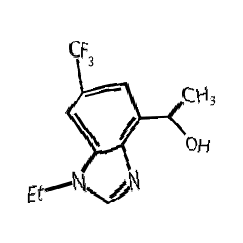 CCn1cnc2c(C(C)O)cc(C(F)(F)F)cc21